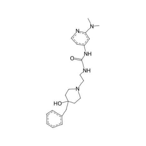 CN(C)c1cc(NC(=O)NCCN2CCC(O)(Cc3ccccc3)CC2)ccn1